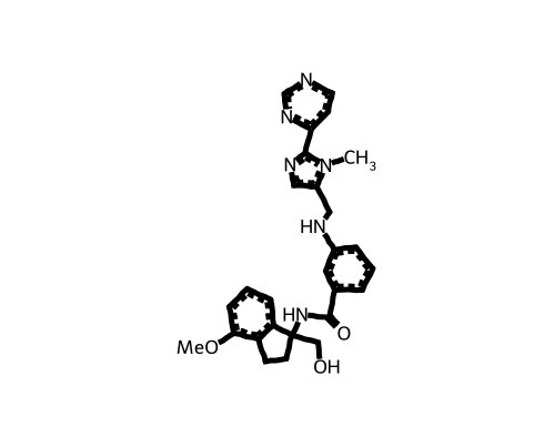 COc1cccc2c1CCC2(CO)NC(=O)c1cccc(NCc2cnc(-c3ccncn3)n2C)c1